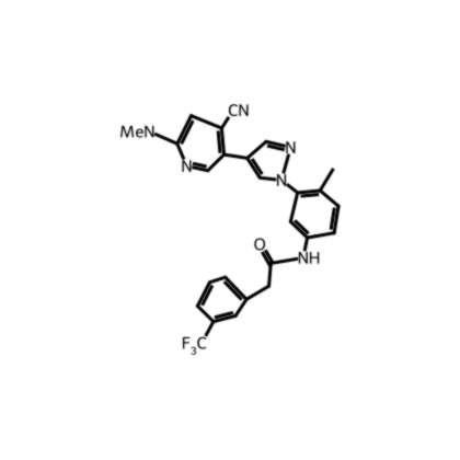 CNc1cc(C#N)c(-c2cnn(-c3cc(NC(=O)Cc4cccc(C(F)(F)F)c4)ccc3C)c2)cn1